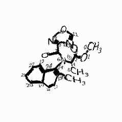 COC(=O)[C@H](C)N(C(=O)c1ncon1)c1c(C)ccc2ccccc12